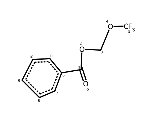 O=C(OCOC(F)(F)F)c1[c]cccc1